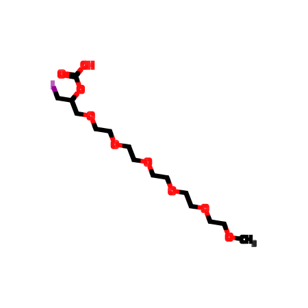 COCCOCCOCCOCCOCCOCC(CI)OC(=O)O